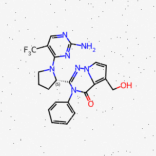 Nc1ncc(C(F)(F)F)c(N2CCC[C@H]2c2nn3ccc(CO)c3c(=O)n2-c2ccccc2)n1